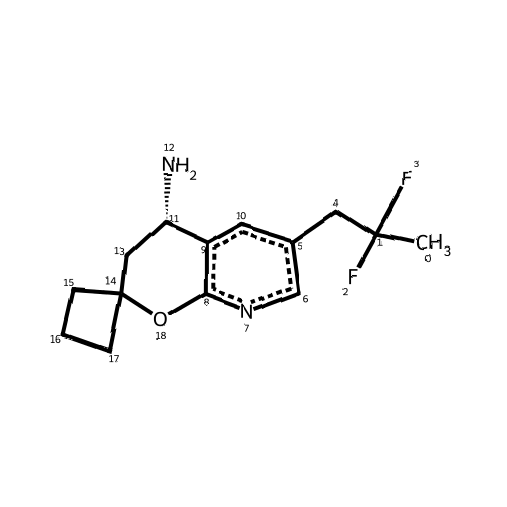 CC(F)(F)Cc1cnc2c(c1)[C@@H](N)CC1(CCC1)O2